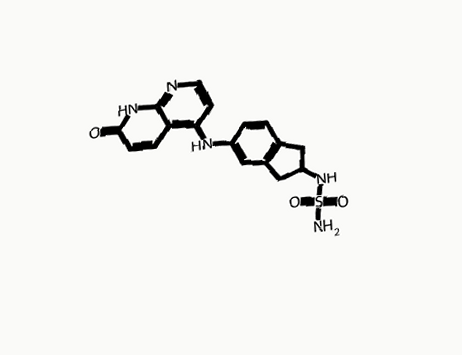 NS(=O)(=O)NC1Cc2ccc(Nc3ccnc4[nH]c(=O)ccc34)cc2C1